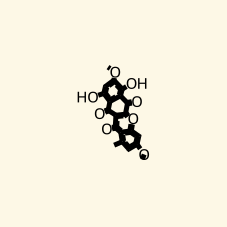 COc1cc(C)c2c(=O)c3c(oc2c1)C(=O)c1c(O)c(OC)cc(O)c1C3=O